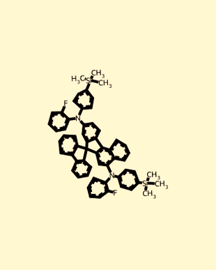 C[Si](C)(C)c1ccc(N(c2ccc3c(c2)C2(c4ccccc4-c4ccccc42)c2cc(N(c4ccc([Si](C)(C)C)cc4)c4ccccc4F)c4ccccc4c2-3)c2ccccc2F)cc1